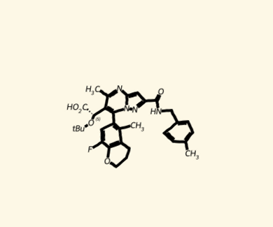 Cc1ccc(CNC(=O)c2cc3nc(C)c([C@H](OC(C)(C)C)C(=O)O)c(-c4cc(F)c5c(c4C)CCCO5)n3n2)cc1